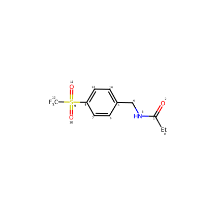 CCC(=O)NCc1ccc(S(=O)(=O)C(F)(F)F)cc1